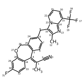 CC(C#N)=C1c2ccc(Cc3c(C)nc4c(C(F)(F)F)cccn34)cc2COc2cc(F)ccc21